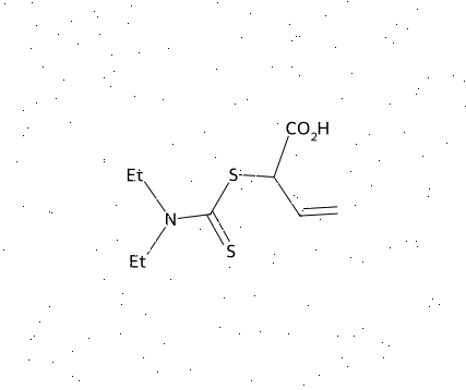 C=CC(SC(=S)N(CC)CC)C(=O)O